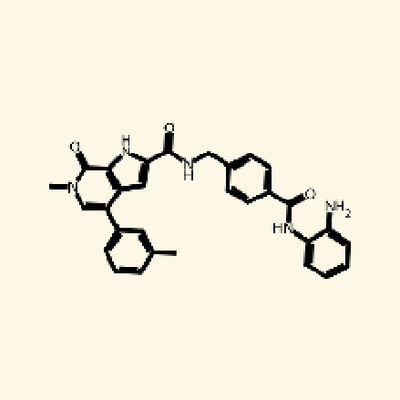 Cc1cccc(-c2cn(C)c(=O)c3[nH]c(C(=O)NCc4ccc(C(=O)Nc5ccccc5N)cc4)cc23)c1